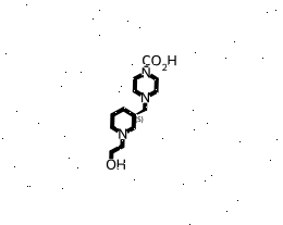 O=C(O)N1CCN(C[C@@H]2CCCN(CCO)C2)CC1